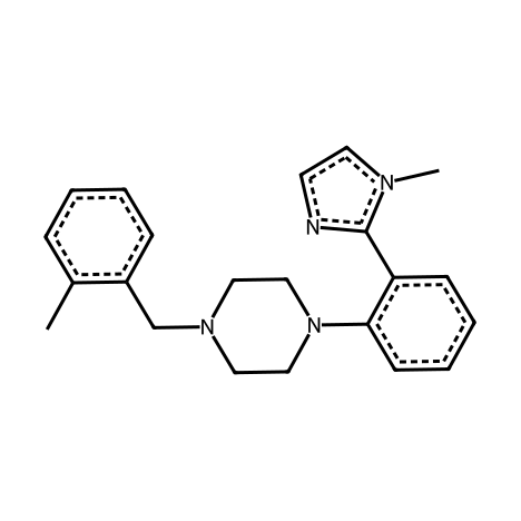 Cc1ccccc1CN1CCN(c2ccccc2-c2nccn2C)CC1